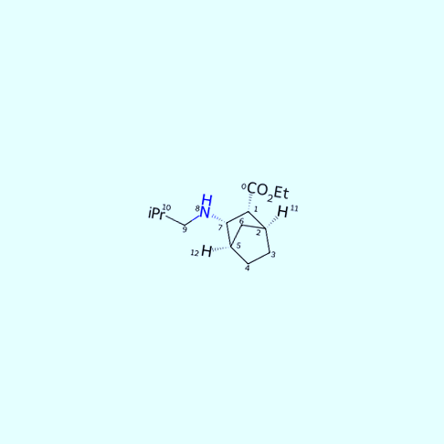 CCOC(=O)[C@@H]1[C@H]2CC[C@H](C2)[C@@H]1NCC(C)C